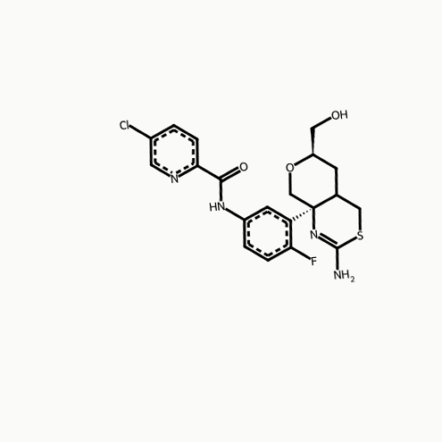 NC1=N[C@@]2(c3cc(NC(=O)c4ccc(Cl)cn4)ccc3F)CO[C@@H](CO)CC2CS1